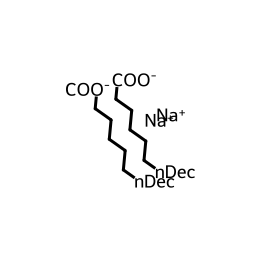 CCCCCCCCCCCCCCCC(=O)[O-].CCCCCCCCCCCCCCCC(=O)[O-].[Na+].[Na+]